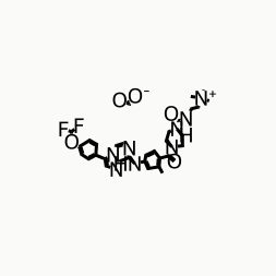 Cc1cc(Nc2nccn3c(-c4ccc(OC(F)F)cc4)cnc23)ccc1C(=O)N1CCN(C(=O)NCC[N+](C)(C)C)CC1.O=C[O-]